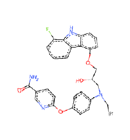 CC(C)CN(C[C@H](O)COc1cccc2[nH]c3c(F)cccc3c12)c1ccc(Oc2ccc(C(N)=O)cn2)cc1